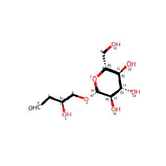 O=CC[C@H](O)CO[C@@H]1O[C@H](CO)[C@@H](O)[C@H](O)[C@H]1O